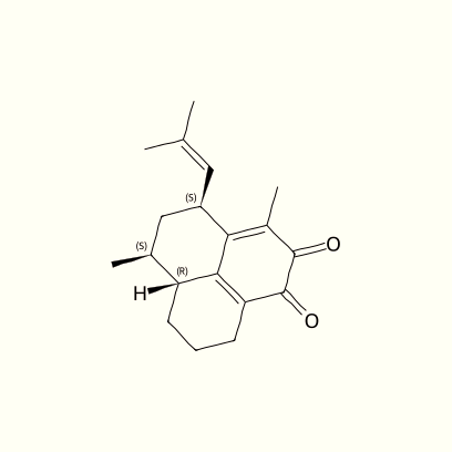 CC(C)=C[C@@H]1C[C@H](C)[C@H]2CCCC3=C2C1=C(C)C(=O)C3=O